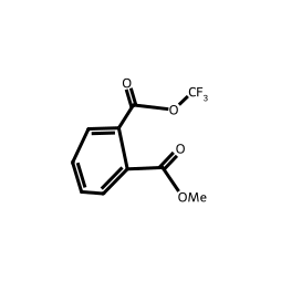 COC(=O)c1ccccc1C(=O)OC(F)(F)F